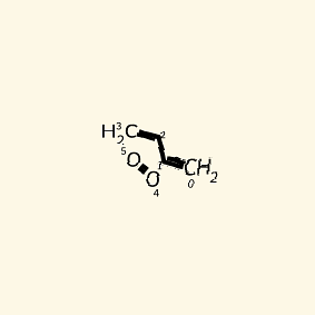 C=CC=C.O=O